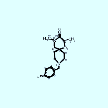 C[C@H]1OC2(CCN(Cc3ccc(F)cc3)CC2)CN(C)C1=O